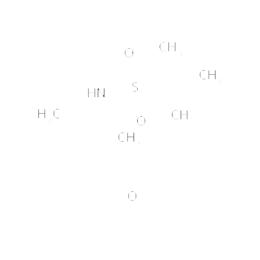 CC(C)(CC1CO1)NS(=O)(=O)C(C)(C)C